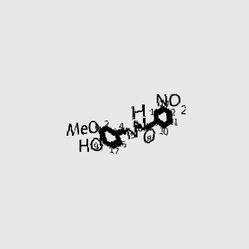 COc1cc(C=NNC(=O)c2cccc([N+](=O)[O-])c2)ccc1O